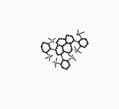 C[Si](C)(C)c1cccc([Si](C)(C)C)c1-c1ccc2ccc3c(-c4c([Si](C)(C)C)cccc4[Si](C)(C)C)cc(-c4c([Si](C)(C)C)cccc4[Si](C)(C)C)c4ccc1c2c34